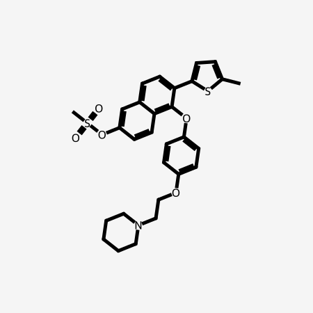 Cc1ccc(-c2ccc3cc(OS(C)(=O)=O)ccc3c2Oc2ccc(OCCN3CCCCC3)cc2)s1